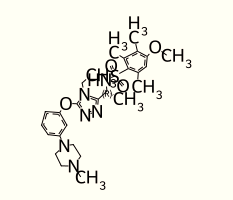 CCn1c(Oc2cccc(N3CCN(C)CC3)c2)nnc1[C@@H](C)NS(=O)(=O)c1c(C)cc(OC)c(C)c1C